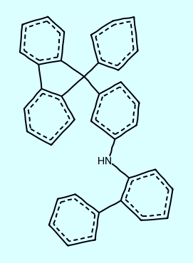 c1ccc(-c2ccccc2Nc2cccc(C3(c4ccccc4)c4ccccc4-c4ccccc43)c2)cc1